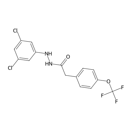 O=C(Cc1ccc(OC(F)(F)F)cc1)NNc1cc(Cl)cc(Cl)c1